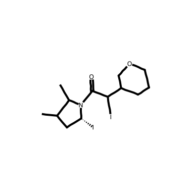 CC1C[C@@H](I)N(C(=O)C(I)C2CCCOC2)C1C